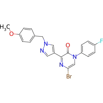 COc1ccc(Cn2cc(-c3nc(Br)cn(-c4ccc(F)cc4)c3=O)cn2)cc1